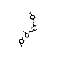 C=C(CCN1CC[C@H](Oc2ccc(Cl)cc2)C1=O)NC(=O)COc1ccc(Cl)cc1